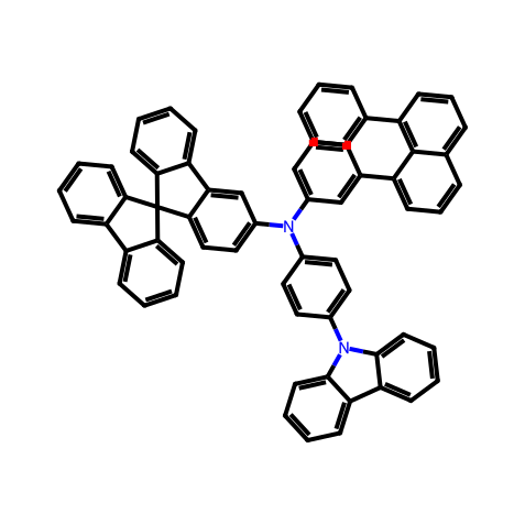 c1ccc(-c2cccc3cccc(-c4cccc(N(c5ccc(-n6c7ccccc7c7ccccc76)cc5)c5ccc6c(c5)-c5ccccc5C65c6ccccc6-c6ccccc65)c4)c23)cc1